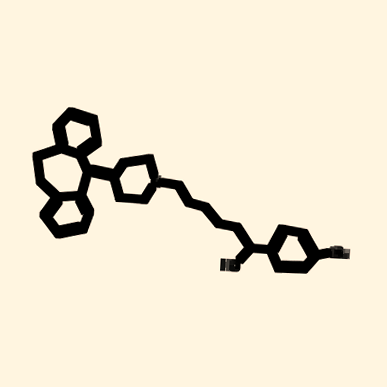 CC(C)(C)c1ccc(C(O)CCCCCN2CCC(=C3c4ccccc4CCc4ccccc43)CC2)cc1